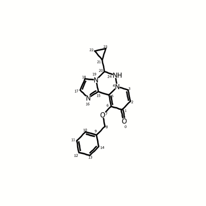 O=c1ccn2c(c1OCc1ccccc1)-c1nccn1C(C1CC1)N2